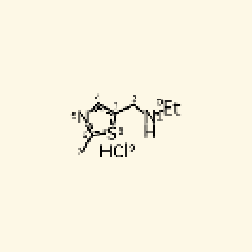 CCNCc1cnc(C)s1.Cl